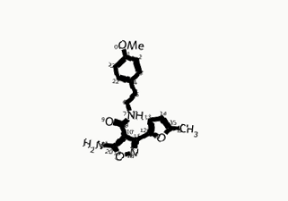 COc1ccc(CCNC(=O)c2c(-c3ccc(C)o3)noc2N)cc1